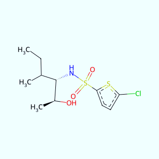 CCC(C)[C@H](NS(=O)(=O)c1ccc(Cl)s1)[C@H](C)O